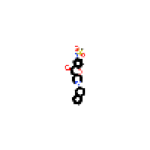 CS(=O)(=O)Nc1ccc2c(c1)C(=O)CC1(CCN(C3CCc4ccccc4C3)CC1)O2